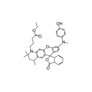 CCOC(=O)CCCN1c2cc3c(cc2C(C)CC1(C)C)C1(OC(=O)C2C=CC=CC21)c1ccc(N(C)c2ccc(O)cc2)cc1O3